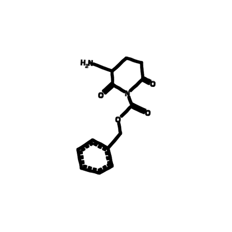 NC1CCC(=O)N(C(=O)OCc2ccccc2)C1=O